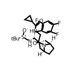 CC(C)(C)[S@+]([O-])N[C@H](Cc1cc(F)c(F)cc1F)[C@@H]1C[C@H]2CC[C@@H](C1)N2C(=O)CNC(=O)C1CC1